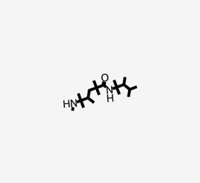 CNC(C)(C)C(C)CC(C)(C)C(=O)NC(C)(C)C(C)C(C)C